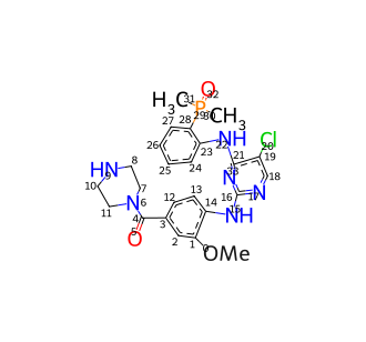 COc1cc(C(=O)N2CCNCC2)ccc1Nc1ncc(Cl)c(Nc2ccccc2P(C)(C)=O)n1